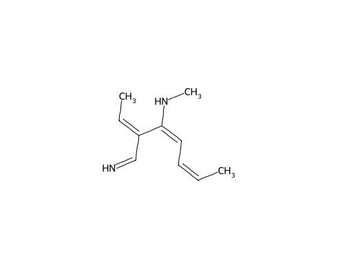 C\C=C/C=C(NC)\C(C=N)=C/C